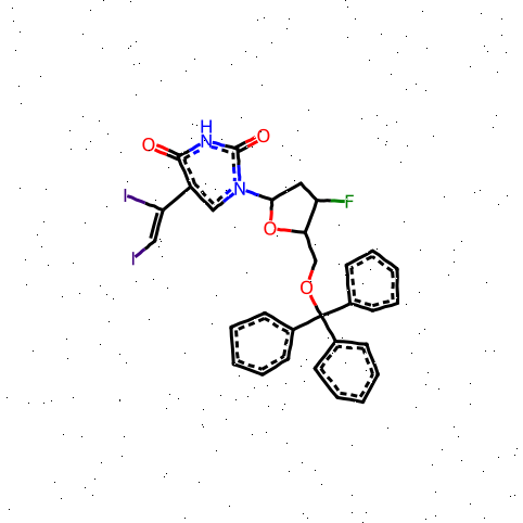 O=c1[nH]c(=O)n(C2CC(F)C(COC(c3ccccc3)(c3ccccc3)c3ccccc3)O2)cc1/C(I)=C/I